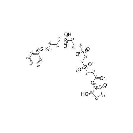 O=C(CCS(=O)(=O)CCS(=O)(=O)CCCP(=O)(O)CCCSSc1ccccn1)ON1C(=O)CCC1O